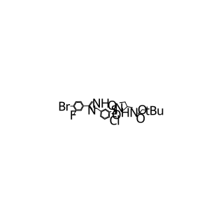 CC(C)(C)OC(=O)NCC1CCN(S(=O)(=O)c2cc(-c3nc(-c4ccc(Br)c(F)c4)c[nH]3)ccc2Cl)C1